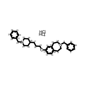 Cl.Cl.c1ccc(CN2CCc3ccc(OCCCC4CCN(Cc5ccccc5)CC4)cc3CC2)cc1